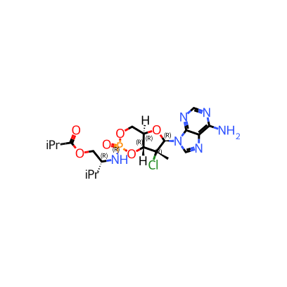 CC(C)C(=O)OC[C@H](N[P@@]1(=O)OC[C@H]2O[C@@H](n3cnc4c(N)ncnc43)[C@](C)(Cl)[C@@H]2O1)C(C)C